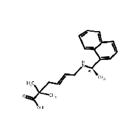 C[C@@H](NC/C=C/CC(C)(C)C(=O)O)c1cccc2ccccc12